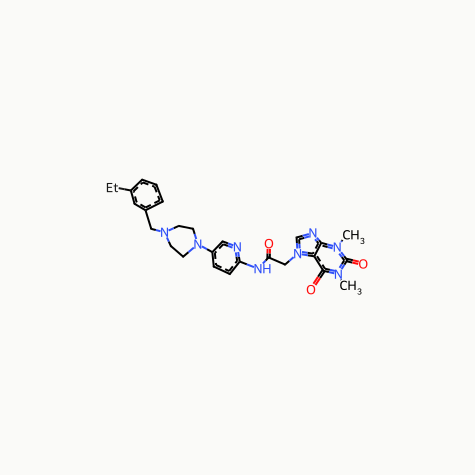 CCc1cccc(CN2CCN(c3ccc(NC(=O)Cn4cnc5c4c(=O)n(C)c(=O)n5C)nc3)CC2)c1